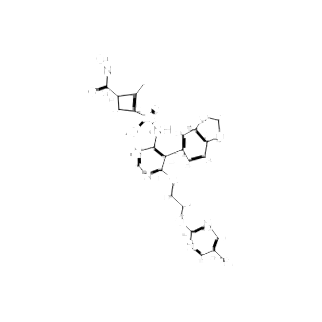 CC1=C(S(=O)(=O)Nc2ncnc(OCCOc3ncc(Br)cn3)c2-c2ccc3c(c2)OCO3)CC1C(=O)N=O